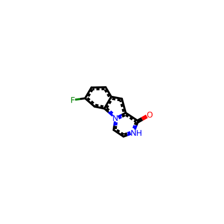 O=c1[nH]ccn2c1cc1ccc(F)cc12